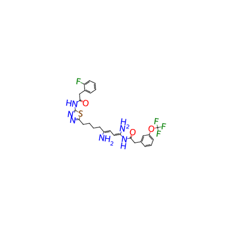 N/C(=C\C=C(/N)NC(=O)Cc1cccc(OC(F)(F)F)c1)CCCCc1nnc(NC(=O)Cc2ccccc2F)s1